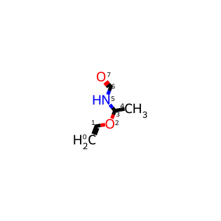 C=COC(C)NC=O